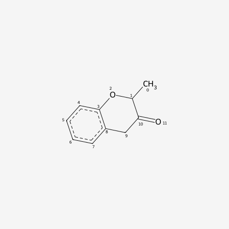 CC1Oc2ccccc2CC1=O